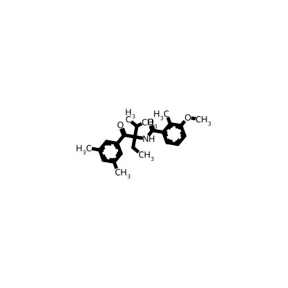 CCC(NC(=O)c1cccc(OC)c1C)(C(=O)c1cc(C)cc(C)c1)C(C)C